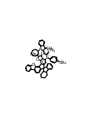 C=c1/c(=C\C(=C/C)N(c2ccc(C(C)(C)C)cc2)C2C[C@@]3(C)C(c4c(ccc5c4oc4ccccc45)C34c3ccccc3C3CCCCC34)C3OC(CCCC)C(C)C32)n(C2CCCCCC2)c2ccccc12